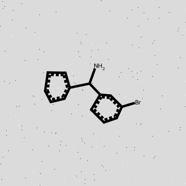 NC(c1ccccc1)c1cccc(Br)c1